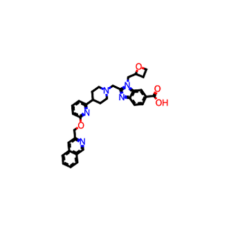 O=C(O)c1ccc2nc(CN3CCC(c4cccc(OCc5cc6ccccc6cn5)n4)CC3)n(CC3CCO3)c2c1